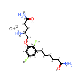 NC(=O)CCCCCc1cc(F)cc(OC[C@H](CCC(N)=O)NC=O)c1F